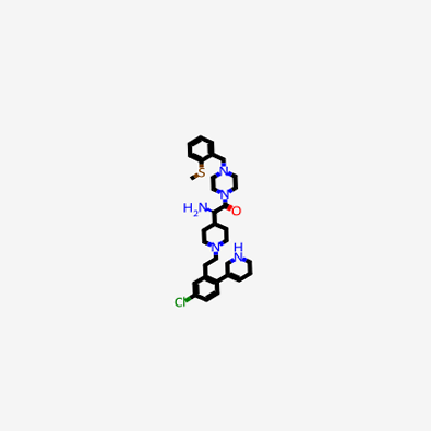 CSc1ccccc1CN1CCN(C(=O)[C@H](N)C2CCN(CCc3cc(Cl)ccc3C3=CCCNC3)CC2)CC1